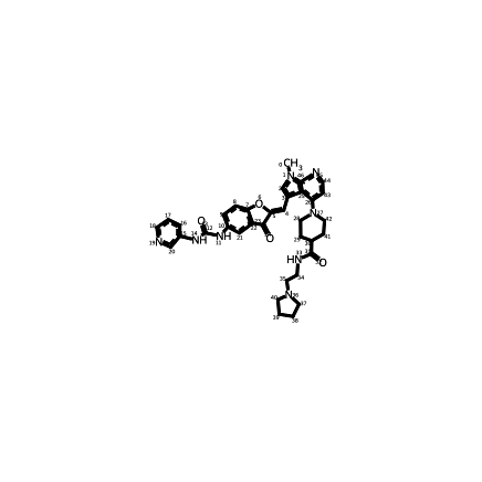 Cn1cc(C=C2Oc3ccc(NC(=O)Nc4cccnc4)cc3C2=O)c2c(N3CCC(C(=O)NCCN4CCCC4)CC3)ccnc21